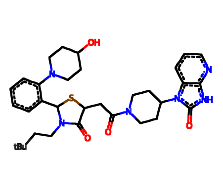 CC(C)(C)CCN1C(=O)C(CC(=O)N2CCC(n3c(=O)[nH]c4ncccc43)CC2)SC1c1ccccc1N1CCC(O)CC1